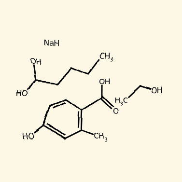 CCCCC(O)O.CCO.Cc1cc(O)ccc1C(=O)O.[NaH]